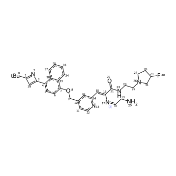 CC(C)(C)C1=NC(c2ccc(OCc3ccnc(C=C(/N=C\CN)C(=O)NCCN4CCC(F)C4)c3)c3ccccc23)=C1